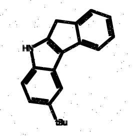 CC(C)(C)c1ccc2[nH]c3c(c2c1)-c1ccccc1C3